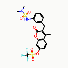 Cc1c(Cc2cccc(NS(=O)(=O)N(C)C)c2)c(=O)oc2cc(OS(=O)(=O)C(F)(F)F)ccc12